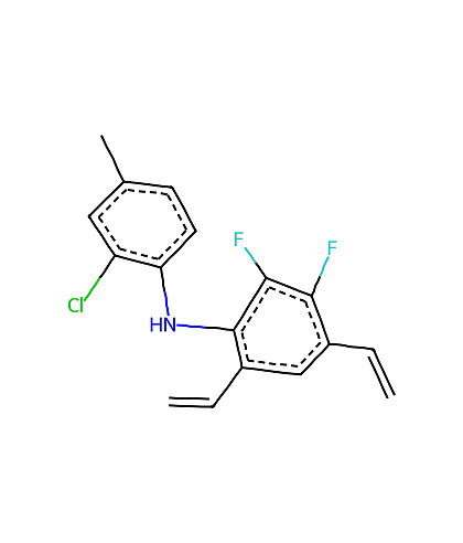 C=Cc1cc(C=C)c(Nc2ccc(C)cc2Cl)c(F)c1F